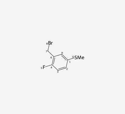 CSc1ccc(F)c(CBr)c1